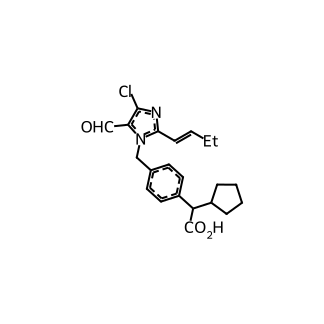 CCC=Cc1nc(Cl)c(C=O)n1Cc1ccc(C(C(=O)O)C2CCCC2)cc1